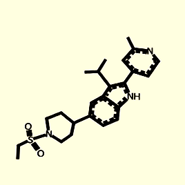 CCS(=O)(=O)N1CCC(c2ccc3[nH]c(-c4ccnc(C)c4)c(C(C)C)c3c2)CC1